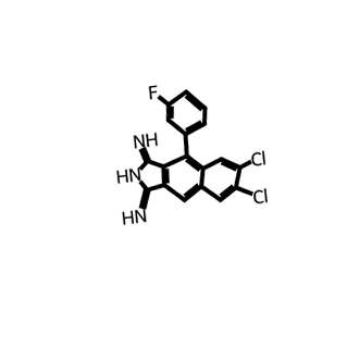 N=C1NC(=N)c2c1cc1cc(Cl)c(Cl)cc1c2-c1cccc(F)c1